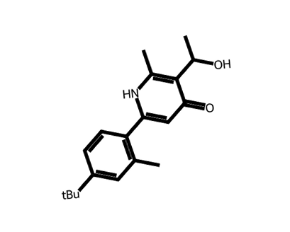 Cc1cc(C(C)(C)C)ccc1-c1cc(=O)c(C(C)O)c(C)[nH]1